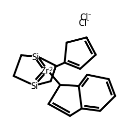 C1=CC[C]([Zr+2]2([CH]3C=Cc4ccccc43)=[Si]3CC[Si]=2CC3)=C1.[Cl-].[Cl-]